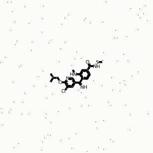 CNc1cc(C(=O)NSC)ccc1C(=N)c1cnc(OCC(C)C)c(Cl)c1